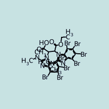 CCOC(=O)C(C(C(=O)O)n1c(N(C)C)nc2c(Br)c(Br)c(Br)c(Br)c21)n1c(N(C)C)nc2c(Br)c(Br)c(Br)c(Br)c21